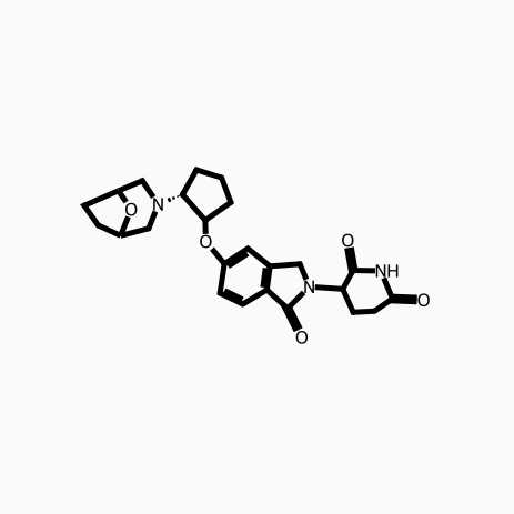 O=C1CCC(N2Cc3cc(OC4CCC[C@H]4N4CC5CCC(C4)O5)ccc3C2=O)C(=O)N1